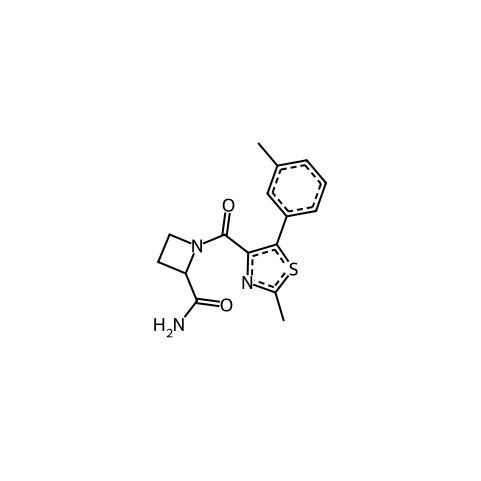 Cc1cccc(-c2sc(C)nc2C(=O)N2CCC2C(N)=O)c1